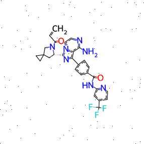 C=CC(=O)N1CC2(CC2)C[C@H]1c1nc(-c2ccc(C(=O)Nc3cc(C(F)(F)F)ccn3)cc2)c2c(N)nccn12